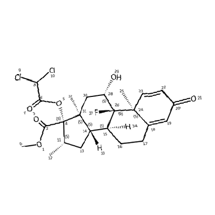 COC(=O)[C@]1(OC(=O)C(Cl)Cl)[C@@H](C)C[C@H]2[C@@H]3CCC4=CC(=O)C=C[C@]4(C)[C@@]3(F)[C@@H](O)C[C@@]21C